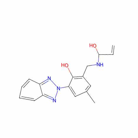 C=CC(O)NCc1cc(C)cc(-n2nc3ccccc3n2)c1O